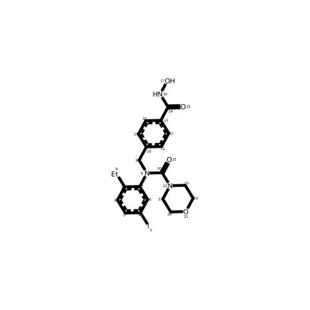 CCc1ccc(I)cc1N(Cc1ccc(C(=O)NO)cc1)C(=O)N1CCOCC1